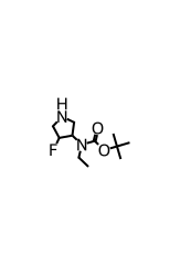 CCN(C(=O)OC(C)(C)C)C1CNCC1F